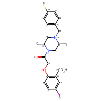 CC1CN(C(=O)COc2ccc(I)cc2C(=O)O)C(C)CN1Cc1ccc(F)cc1